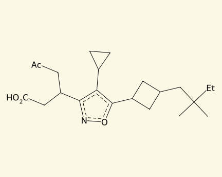 CCC(C)(C)CC1CC(c2onc(C(CC(C)=O)CC(=O)O)c2C2CC2)C1